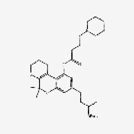 CCCCCC(C)CCc1cc(OC(=O)CCCN2CCCCC2)c2c(c1)OC(C)(C)C1=C2CCCS1